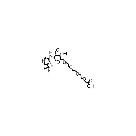 O=C[C@H]1[C@@H](O)[C@@H](COCCOCCOCCOCC(=O)O)OC[C@@H]1Nc1cncc(C(F)(F)F)n1